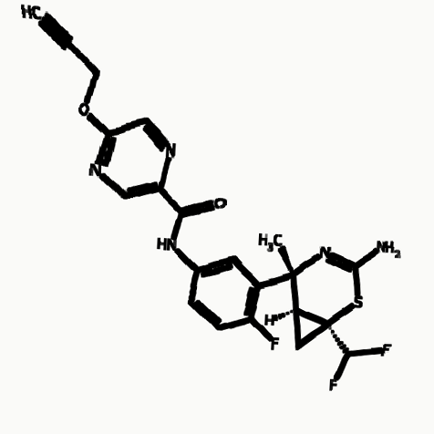 C#CCOc1cnc(C(=O)Nc2ccc(F)c([C@]3(C)N=C(N)S[C@@]4(C(F)F)C[C@@H]34)c2)cn1